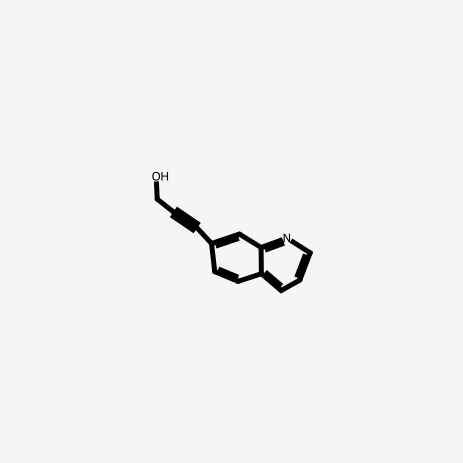 OCC#Cc1ccc2cccnc2c1